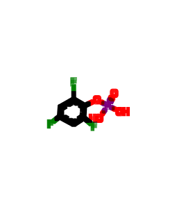 O=P(O)(O)Oc1c(F)cc(F)cc1F